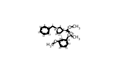 COC(=O)[C@@H]1CN(Cc2ccccc2)C[C@H]1c1c(OC)cccc1OC